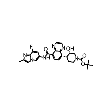 Cc1cn2cc(NC(=O)c3ccc([C@H]4CCN(C(=O)OC(C)(C)C)C[C@H]4O)c4nccnc34)cc(F)c2n1